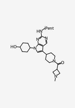 CCCC(C)Nc1ncc2c(C3CCN(C(=O)C4CN(C)C4)CC3)cn(C3CCC(O)CC3)c2n1